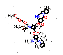 C=C(c1cc(OC)c(OCc2cc(COc3cc4c(cc3OC)C(=O)N3c5cccc(C)c5CC3CN4)cc(N(CCOCCOCCOC)CC(C)(C)SSC)c2)cc1NC)N1c2ccccc2C[C@H]1C